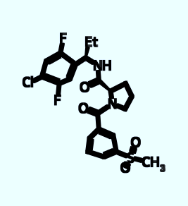 CC[C@@H](NC(=O)[C@H]1CCCN1C(=O)c1cccc(S(C)(=O)=O)c1)c1cc(F)c(Cl)cc1F